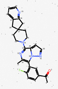 CC(=O)c1ccc(F)c(-c2c(C)nc(N3CCC4(CC3)Cc3cccnc3C4)c3ccnn23)c1